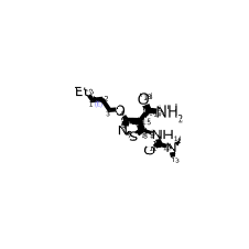 CC/C=C/COc1nsc(NC(=O)N(C)C)c1C(N)=O